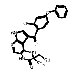 CC1(CO)Nc2c(cnc3[nH]cc(C(=O)c4ccc(Oc5ccccc5)cc4Cl)c23)NC1=O